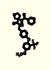 COc1ccc(Oc2ccc(CNC(=O)C3(NC(=O)c4cccnc4)CCOC3)cc2)c(C(F)(F)F)c1